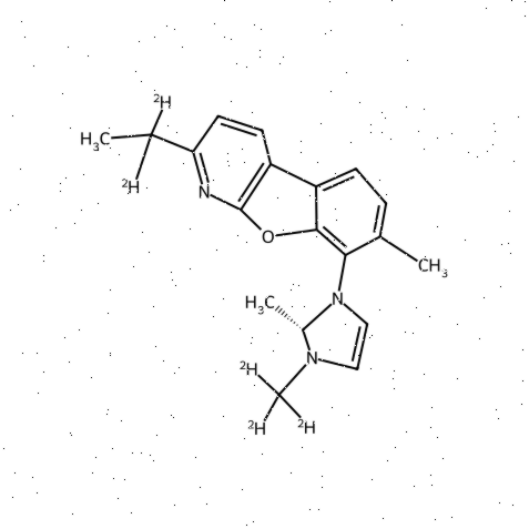 [2H]C([2H])(C)c1ccc2c(n1)oc1c(N3C=CN(C([2H])([2H])[2H])[C@@H]3C)c(C)ccc12